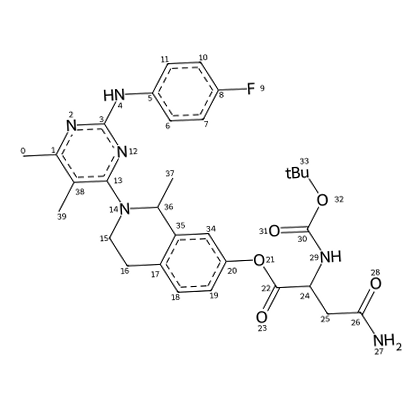 Cc1nc(Nc2ccc(F)cc2)nc(N2CCc3ccc(OC(=O)C(CC(N)=O)NC(=O)OC(C)(C)C)cc3C2C)c1C